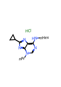 CCCCCCNc1ncn(CCC)c2nc(C3CC3)nc1-2.Cl